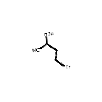 CCCCC(C#N)CCC(C)C